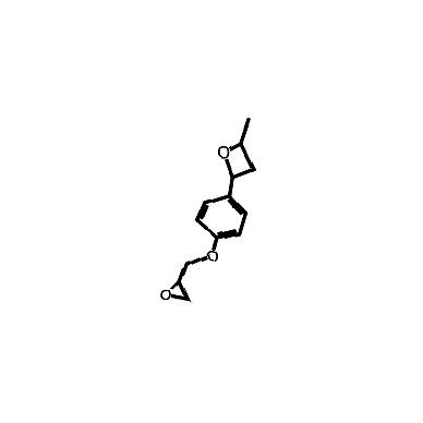 CC1CC(c2ccc(OCC3CO3)cc2)O1